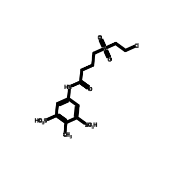 Cc1c(S(=O)(=O)O)cc(NC(=O)CCCS(=O)(=O)CCCl)cc1S(=O)(=O)O